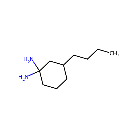 CCCCC1CCCC(N)(N)C1